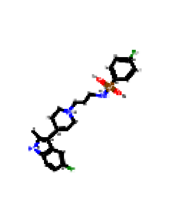 Cc1[nH]c2ccc(Cl)cc2c1C1=CCN(CCCNS(=O)(=O)c2ccc(F)cc2)CC1